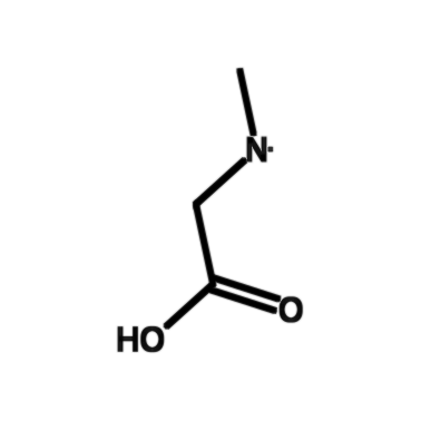 C[N]CC(=O)O